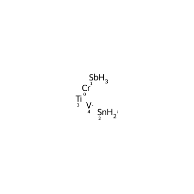 [Cr].[SbH3].[SnH2].[Ti].[V]